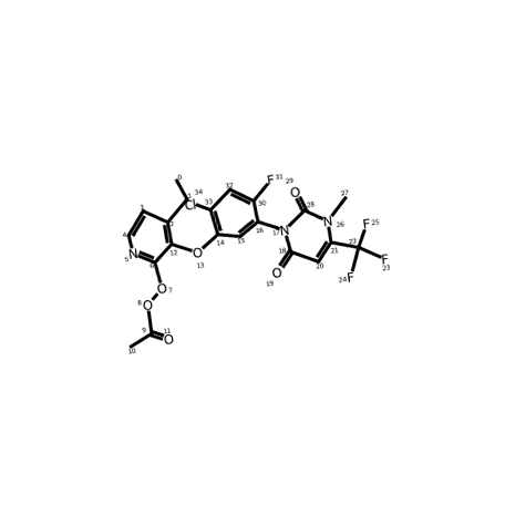 CCc1ccnc(OOC(C)=O)c1Oc1cc(-n2c(=O)cc(C(F)(F)F)n(C)c2=O)c(F)cc1Cl